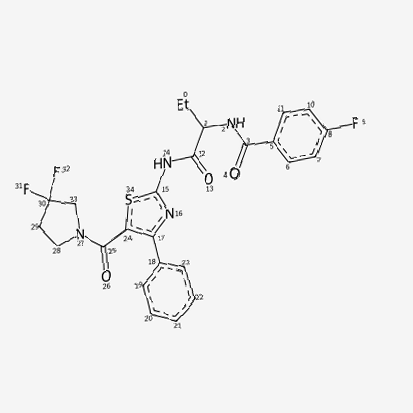 CCC(NC(=O)c1ccc(F)cc1)C(=O)Nc1nc(-c2ccccc2)c(C(=O)N2CCC(F)(F)C2)s1